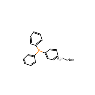 CCCCCCCCCC.c1ccc(P(c2ccccc2)c2ccccc2)cc1